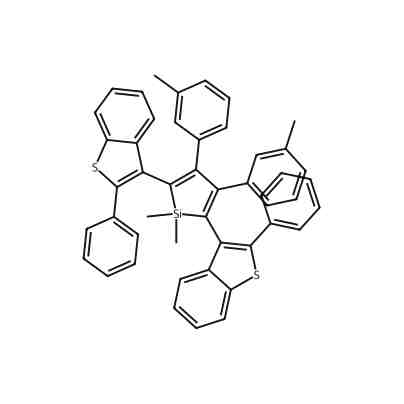 Cc1cccc(C2=C(c3c(-c4ccccc4)sc4ccccc34)[Si](C)(C)C(c3c(-c4ccccc4)sc4ccccc34)=C2c2cccc(C)c2)c1